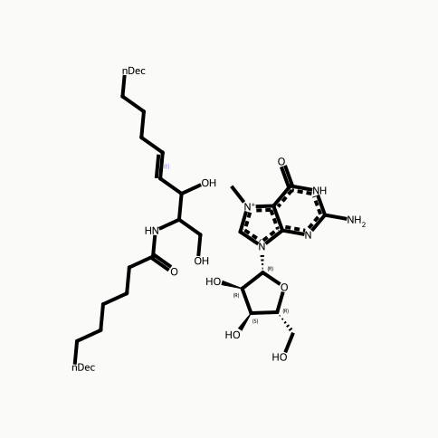 CCCCCCCCCCCCC/C=C/C(O)C(CO)NC(=O)CCCCCCCCCCCCCCC.C[n+]1cn([C@@H]2O[C@H](CO)[C@@H](O)[C@H]2O)c2nc(N)[nH]c(=O)c21